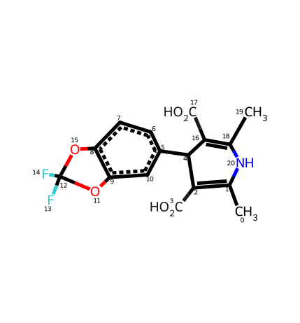 CC1=C(C(=O)O)C(c2ccc3c(c2)OC(F)(F)O3)C(C(=O)O)=C(C)N1